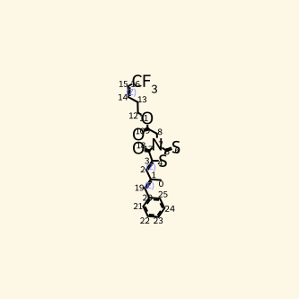 CC(/C=C1\SC(=S)N(CC(=O)OCC/C=C\C(F)(F)F)C1=O)=C\c1ccccc1